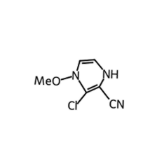 CON1C=CNC(C#N)=C1Cl